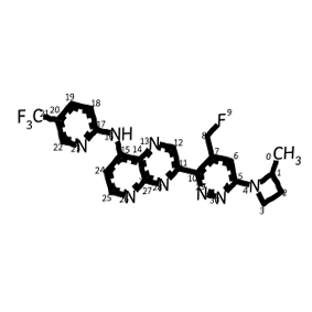 CC1CCN1c1cc(CF)c(-c2cnc3c(Nc4ccc(C(F)(F)F)cn4)ccnc3n2)nn1